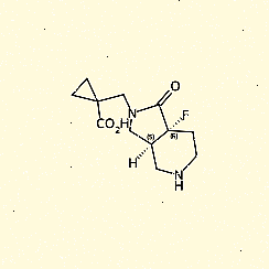 O=C(O)C1(CN2C[C@@H]3CNCC[C@]3(F)C2=O)CC1